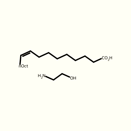 CCCCCCCC/C=C\CCCCCCCC(=O)O.NCCO